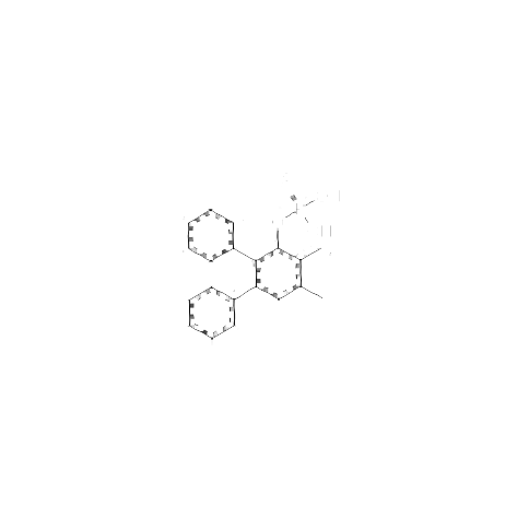 Cc1cc(-c2ccccc2)c(-c2ccccc2)c(OP(=O)(O)O)c1C